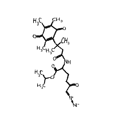 CC1=C(C)C(=O)C(C(C)(C)CC(=O)NC(CCC(=O)C=[N+]=[N-])C(=O)OC(C)C)=C(C)C1=O